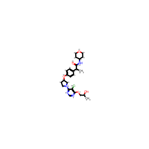 CC(O)COc1ncnc(N2CCC(Oc3ccc(C(C)C(=O)NC4CCOCC4)cc3)C2)c1Cl